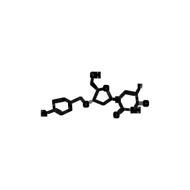 O=c1[nH]c(=O)n([C@H]2C[C@H](OCc3ccc(Br)cc3)[C@@H](CO)O2)cc1F